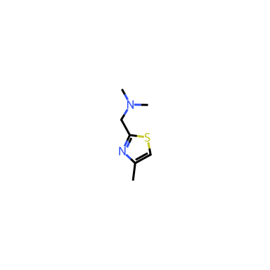 Cc1csc(CN(C)C)n1